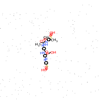 COc1cc(SOOO)c(C)cc1NC(=O)C(/N=N/c1ccc(C(=O)Nc2ccc(/N=N/c3ccc(SOOO)cc3)cc2OCCO)cc1)C(C)=O